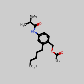 CNC(C)C(=O)Nc1ccc(COC(=O)C(C)(C)C)c(CCCCC(=O)O)c1